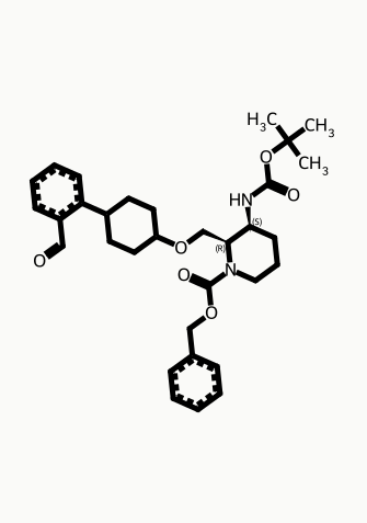 CC(C)(C)OC(=O)N[C@H]1CCCN(C(=O)OCc2ccccc2)[C@H]1COC1CCC(c2ccccc2C=O)CC1